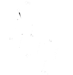 CO[C@@H]1C[C@@H]2COc3c(C)ccnc3N2C1